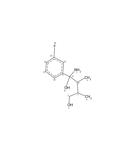 CC(CO)C(C)C(N)(O)c1cccc(F)c1